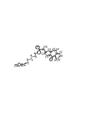 CCCCCCCCCCCCCCCCOC(=O)C(C)c1ccc2c(=O)c3ccccc3ccc2c1